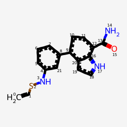 C=CSNc1cccc(-c2ccc(C(N)=O)c3[nH]ccc23)c1